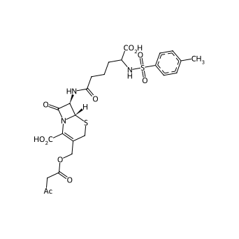 CC(=O)CC(=O)OCC1=C(C(=O)O)N2C(=O)[C@@H](NC(=O)CCCC(NS(=O)(=O)c3ccc(C)cc3)C(=O)O)[C@@H]2SC1